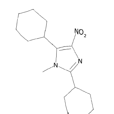 Cn1c(C2CCCCC2)nc([N+](=O)[O-])c1C1CCCCC1